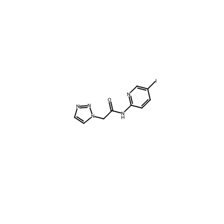 O=C(Cn1ccnn1)Nc1ccc(I)cn1